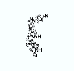 N#Cc1ccc(-n2cc(CN3CCC4(CC3)CNc3c4ccc4c3CN([C@H]3CCC(=O)NC3=O)C4=O)cn2)cc1